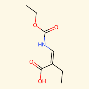 CCOC(=O)NC=C(CC)C(=O)O